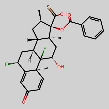 C[C@@H]1C[C@H]2[C@@H]3C[C@H](F)C4=CC(=O)C=C[C@]4(C)C3(F)[C@@H](O)C[C@]2(C)[C@@]1(OC(=O)c1ccccc1)C(O)=S